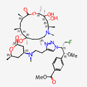 COC(=O)c1ccc([C@@H](OC)[C@@H](CF)n2cc(CCN(C)[C@@H]3C[C@H](O[C@@H]4[C@@H](C)C[C@@H](C)C(=O)O[C@H](I)[C@@](C)(O)[C@H](O)[C@@H](C)N(C)C[C@H](C)C[C@@]4(C)O)O[C@H](C)C3)nn2)cc1